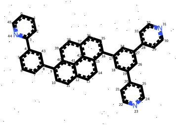 c1ccc(-c2cccc(-c3ccc4ccc5c(-c6cc(-c7ccncc7)cc(-c7ccncc7)c6)ccc6ccc3c4c65)c2)nc1